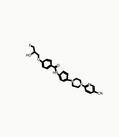 N#Cc1ccc(N2CCN(c3ccc(NC(=O)c4ccc(OCC(O)CF)cc4)cc3)CC2)nc1